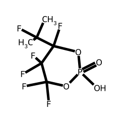 CC(C)(F)C1(F)OP(=O)(O)OC(F)(F)C1(F)F